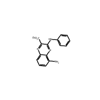 CCOC(=O)c1nc2cccc(N)c2nc1Nc1ccccc1